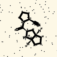 N#C[C@@H]1CCCN1C(=O)[C@@H]1C[C@H]2CCC[C@H]2N1